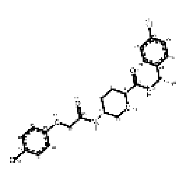 C[C@H](NC(=O)[C@@H]1CC[C@@H](NC(=O)COc2ccc(Cl)cc2)CO1)c1ccc(Cl)cc1